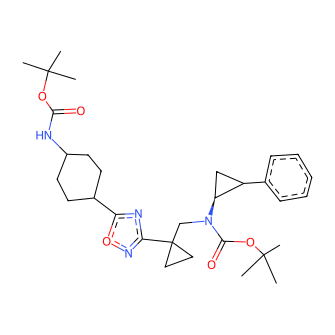 CC(C)(C)OC(=O)NC1CCC(c2nc(C3(CN(C(=O)OC(C)(C)C)[C@H]4CC4c4ccccc4)CC3)no2)CC1